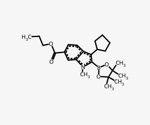 CCCOC(=O)c1ccc2c(C3CCCC3)c(B3OC(C)(C)C(C)(C)O3)n(C)c2c1